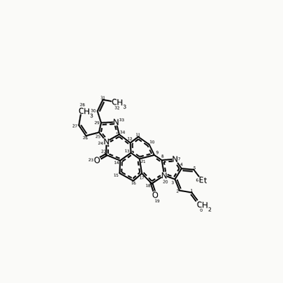 C=C/C=c1\c(=C/CC)nc2c3ccc4c5c(ccc(c(=O)n12)c35)c(=O)n1c(/C=C\C)c(/C=C\C)nc41